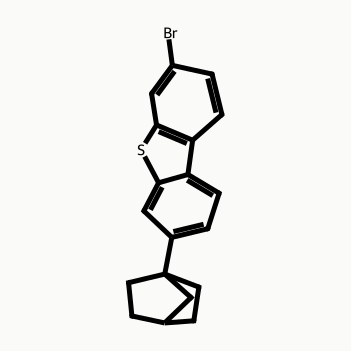 Brc1ccc2c(c1)sc1cc(C34CCC(CC3)C4)ccc12